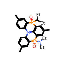 CCC(CC)P1(=O)c2cc(C)ccc2N2c3ccc(C)cc3P(=O)(N(CC)CC)c3cc(C)cc1c32